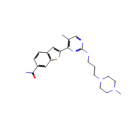 Cc1cnc(NCCCN2CCN(C)CC2)nc1-c1cc2ccc(C(N)=O)cc2s1.Cl.Cl.Cl